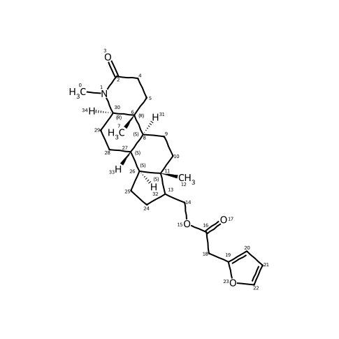 CN1C(=O)CC[C@]2(C)[C@H]3CC[C@]4(C)C(COC(=O)Cc5ccco5)CC[C@H]4[C@@H]3CC[C@@H]12